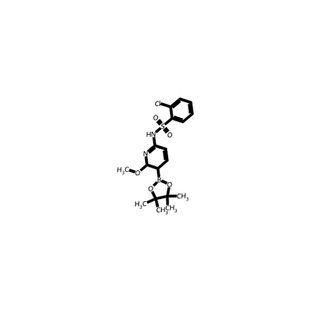 COC1N=C(NS(=O)(=O)c2ccccc2Cl)C=CC1B1OC(C)(C)C(C)(C)O1